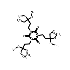 COC(CCn1c(=O)n(CCC(OC)(OC)OC)c(=O)n(CCC(OC)(OC)OC)c1=O)(OC)OC